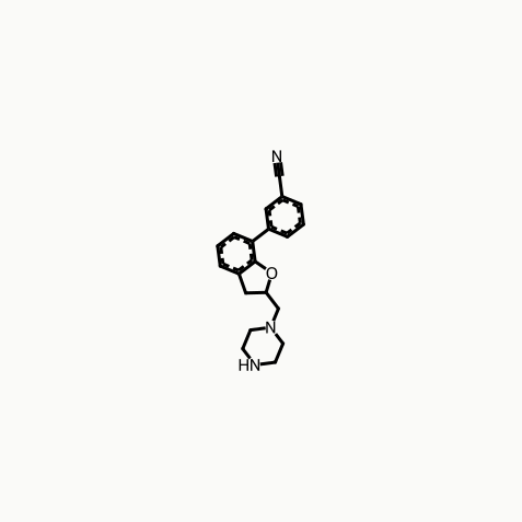 N#Cc1cccc(-c2cccc3c2OC(CN2CCNCC2)C3)c1